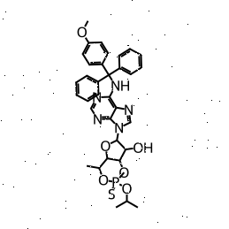 COc1ccc(C(Nc2ncnc3c2ncn3C2OC3C(C)OP(=S)(OC(C)C)OC3C2O)(c2ccccc2)c2ccccc2)cc1